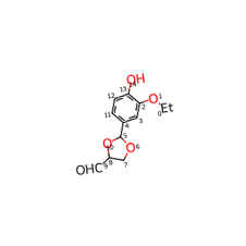 CCOc1cc(C2OCC(C=O)O2)ccc1O